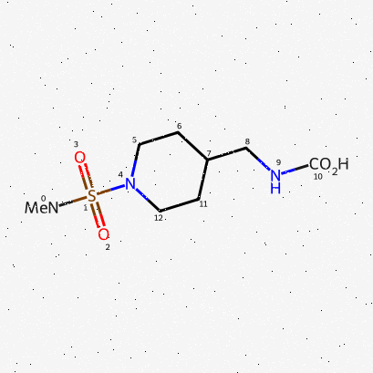 CNS(=O)(=O)N1CCC(CNC(=O)O)CC1